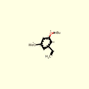 C=Cc1cc(OC)cc(OCCCC)c1